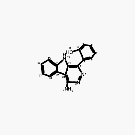 Nc1nnc(-c2ccccc2O)c2[nH]c3ccccc3c12